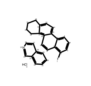 Cl.Fc1cccc2c1ccc1c3c(ccc12)CCCC3.c1ccc2cnccc2c1